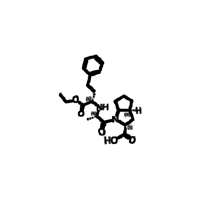 CCOC(=O)[C@H](CCc1ccccc1)N[C@@H](C)C(=O)N1C2CCC[C@H]2C[C@H]1C(=O)O